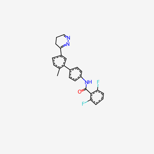 Cc1ccc(C2=NN=CCC2)cc1-c1ccc(NC(=O)c2c(F)cccc2F)cc1